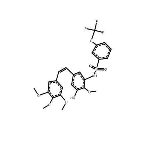 COc1cc(/C=C\c2cc(O)c(OC)c(NS(=O)(=O)c3cccc(OC(F)(F)F)c3)c2)cc(OC)c1OC